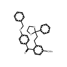 COc1ccc(C(=O)c2ccc(OCc3ccccc3)cc2)c(CCC2(c3ccccc3)OCCO2)c1